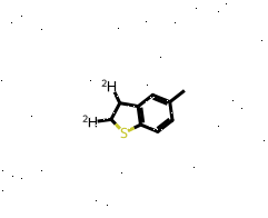 [2H]C1Sc2ccc(C)cc2C1[2H]